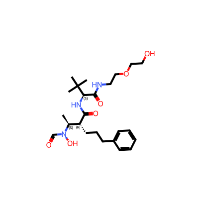 C[C@@H]([C@@H](CCCc1ccccc1)C(=O)N[C@H](C(=O)NCCOCCO)C(C)(C)C)N(O)C=O